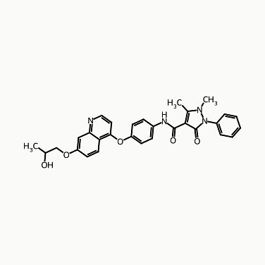 Cc1c(C(=O)Nc2ccc(Oc3ccnc4cc(OCC(C)O)ccc34)cc2)c(=O)n(-c2ccccc2)n1C